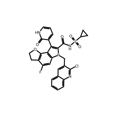 O=C(NS(=O)(=O)C1CC1)c1c(-c2ccc[nH]c2=O)c2c3c(c(F)cc2n1Cc1cc2ccccc2nc1Cl)CCO3